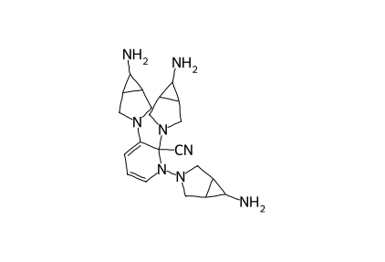 N#CC1(N2CC3C(N)C3C2)C(N2CC3C(N)C3C2)=CC=CN1N1CC2C(N)C2C1